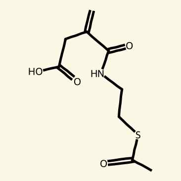 C=C(CC(=O)O)C(=O)NCCSC(C)=O